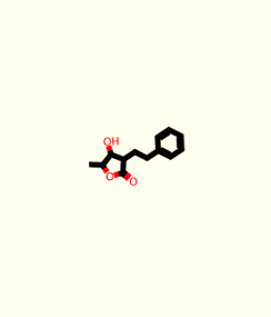 CC1OC(=O)C(CCc2ccccc2)C1O